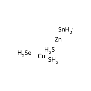 S.S.[Cu].[SeH2].[SnH2].[Zn]